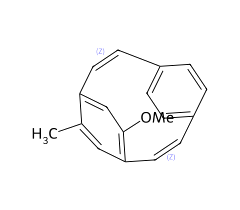 COc1cc2c(C)cc1/C=C\c1ccc(cc1)/C=C\2